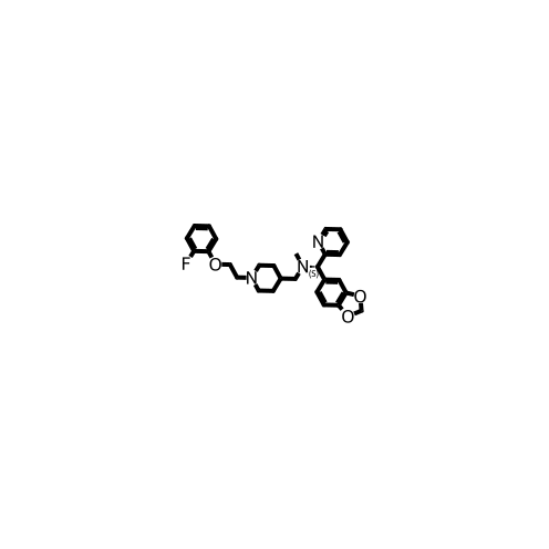 CN(CC1CCN(CCOc2ccccc2F)CC1)[C@@H](c1ccc2c(c1)OCO2)c1ccccn1